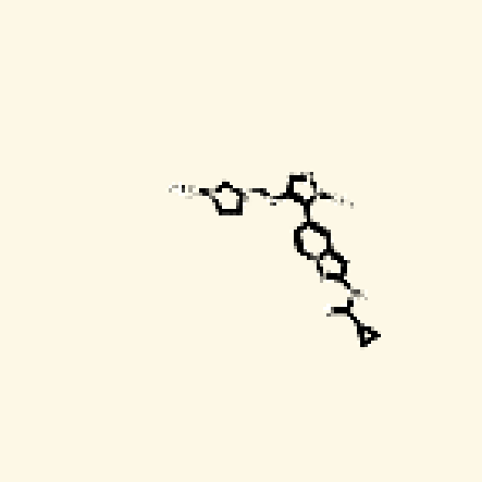 Cn1ncc(OC[C@@H]2CCN(C(=O)O)C2)c1-c1ccn2nc(NC(=O)C3CC3)cc2c1